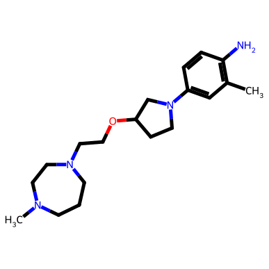 Cc1cc(N2CCC(OCCN3CCCN(C)CC3)C2)ccc1N